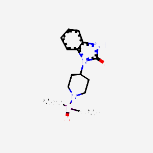 COP(=O)(OC)N1CCC(n2c(=O)[nH]c3ccccc32)CC1